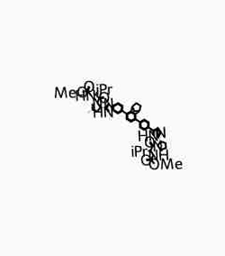 COC(=O)N[C@H](C(=O)N1C[C@@H](C)C[C@H]1c1nc2ccc(-c3ccc(-c4ccc(-c5cnc([C@@H]6CC[C@H](C)N6C(=O)[C@@H](NC(=O)OC)C(C)C)[nH]5)cc4)c4c3C3CCC4C3)cc2[nH]1)C(C)C